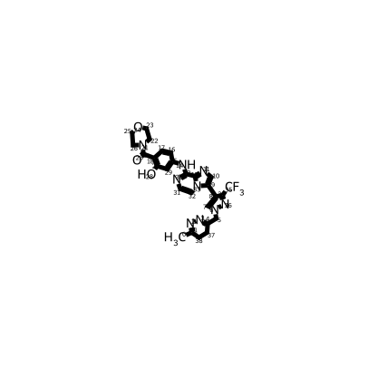 CC1=NN=C(Cn2cc(-c3cnc4c(Nc5ccc(C(=O)N6CCOCC6)c(O)c5)nccn34)c(C(F)(F)F)n2)CC1